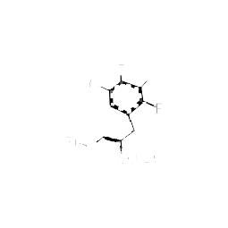 CCOC=C(Cc1cc(F)c(F)c(F)c1F)C(=O)OCC